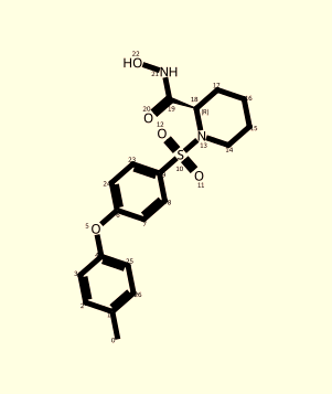 Cc1ccc(Oc2ccc(S(=O)(=O)N3CCCC[C@@H]3C(=O)NO)cc2)cc1